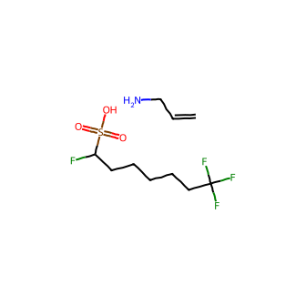 C=CCN.O=S(=O)(O)C(F)CCCCCC(F)(F)F